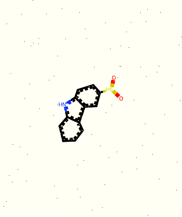 O=[SH](=O)c1ccc2[nH]c3ccccc3c2c1